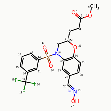 COC(=O)CC[C@H]1CN(S(=O)(=O)c2cccc(C(F)(F)F)c2)c2cc(/C=N/O)ccc2O1